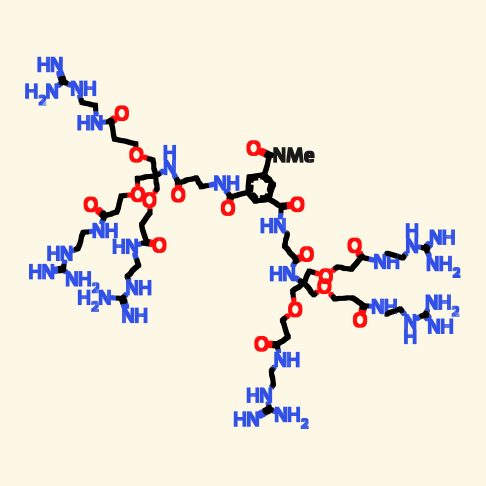 CNC(=O)c1cc(C(=O)NCCC(=O)NC(COCCC(=O)NCCNC(=N)N)(COCCC(=O)NCCNC(=N)N)COCCC(=O)NCCNC(=N)N)cc(C(=O)NCCC(=O)NC(COCCC(=O)NCCNC(=N)N)(COCCC(=O)NCCNC(=N)N)COCCC(=O)NCCNC(=N)N)c1